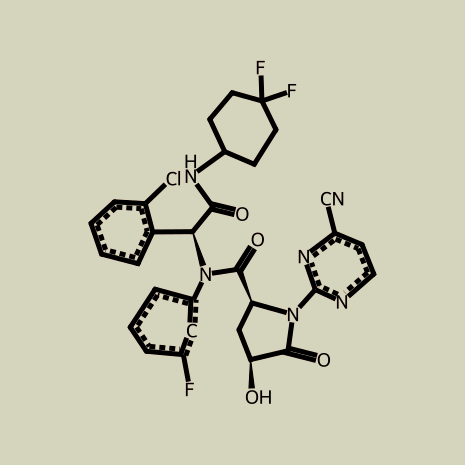 N#Cc1ccnc(N2C(=O)[C@@H](O)C[C@H]2C(=O)N(c2cccc(F)c2)[C@H](C(=O)NC2CCC(F)(F)CC2)c2ccccc2Cl)n1